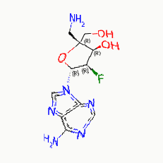 NC[C@]1(CO)O[C@@H](n2cnc3c(N)ncnc32)[C@H](F)[C@@H]1O